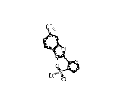 CCS(=O)(=O)c1ccsc1-c1nc2cc(C(F)(F)F)ccc2s1